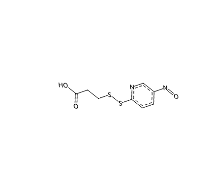 O=Nc1ccc(SSCCC(=O)O)nc1